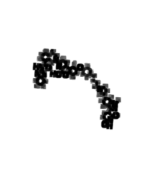 Cc1c(OC2CCC(CCCCN3CC[C@H](c4ccc5c(C6CCC(=O)NC6=O)nn(C)c5c4)C3)CC2)cccc1-c1ccc(N2CCc3cccc(C(=O)Nc4nc5ccccc5s4)c3C2)nc1C(=O)O